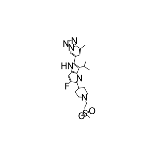 Cc1cc(-c2[nH]c3cc(F)c(C4CCN(CCS(C)(=O)=O)CC4)nc3c2C(C)C)cn2ncnc12